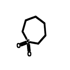 O=S1(=O)CCCCCC1